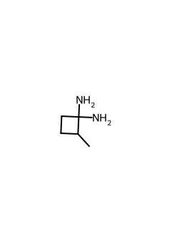 CC1CCC1(N)N